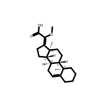 COC(C(=O)O)=C1CC[C@H]2[C@@H]3CC=C4CCCC[C@]4(C)[C@H]3CC[C@]12C